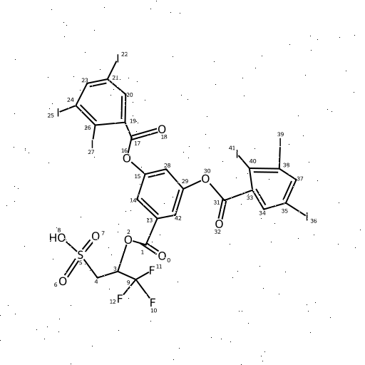 O=C(OC(CS(=O)(=O)O)C(F)(F)F)c1cc(OC(=O)c2cc(I)cc(I)c2I)cc(OC(=O)c2cc(I)cc(I)c2I)c1